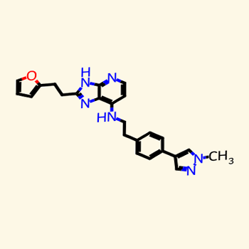 Cn1cc(-c2ccc(CCNc3ccnc4[nH]c(CCc5ccco5)nc34)cc2)cn1